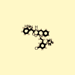 O=C(NC(Cc1ccccc1)C(=O)NCCc1cc(Cl)ccc1-n1cnnn1)c1n[nH]c2ccccc12